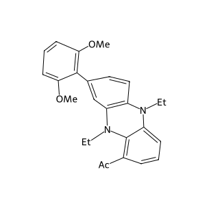 CCN1c2ccc(-c3c(OC)cccc3OC)cc2N(CC)c2c(C(C)=O)cccc21